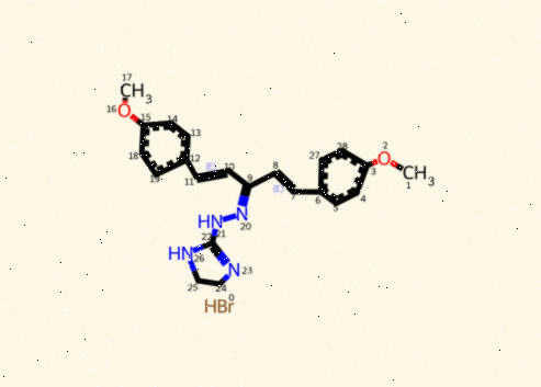 Br.COc1ccc(/C=C/C(/C=C/c2ccc(OC)cc2)=NNC2=NCCN2)cc1